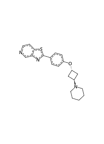 c1cc2sc(-c3ccc(O[C@H]4C[C@H](N5CCCCC5)C4)cc3)nc2cn1